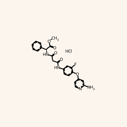 COC(=O)[C@@H](NC(=O)CC(=O)Nc1ccc(Oc2ccnc(N)c2)c(F)c1)c1ccccc1.Cl